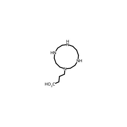 O=C(O)CCCN1CCCNCCNCCCNCC1